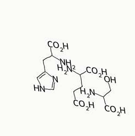 NC(CCC(=O)O)C(=O)O.NC(CO)C(=O)O.NC(Cc1c[nH]cn1)C(=O)O